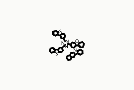 c1ccc2cc3c(cc2c1)c1ccccc1n3-c1cc(-c2nc(-c3ccc4sc5ccccc5c4c3)nc(-c3ccc4sc5ccccc5c4c3)n2)cc2oc3ccccc3c12